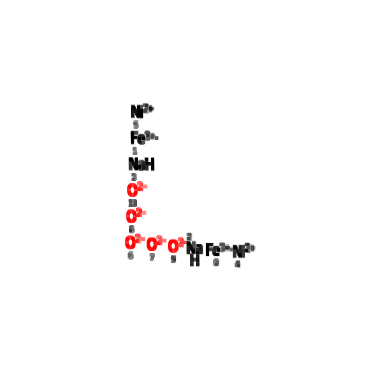 [Fe+3].[Fe+3].[NaH].[NaH].[Ni+2].[Ni+2].[O-2].[O-2].[O-2].[O-2].[O-2]